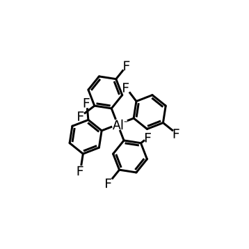 Fc1ccc(F)[c]([Al-]([c]2cc(F)ccc2F)([c]2cc(F)ccc2F)[c]2cc(F)ccc2F)c1